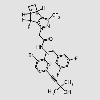 CC(C)(O)C#Cc1ccc(Br)c([C@H](Cc2cc(F)cc(F)c2)NC(=O)Cn2nc(C(F)(F)F)c3c2C(F)(F)[C@@H]2CC[C@H]32)n1